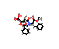 COC(=O)[C@H](Cc1ccccc1)N1C[C@]2(c3ccccc3)O[C@@H](C(=O)O)[C@@H](O2)C1=O